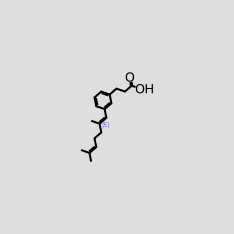 CC(C)=CCC/C(C)=C/c1cccc(CCC(=O)O)c1